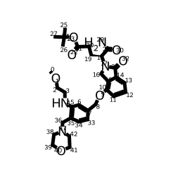 COCCNc1cc(COc2cccc3c2CN([C@@H](CCC(=O)OC(C)(C)C)C(N)=O)C3=O)ccc1CN1CCOCC1